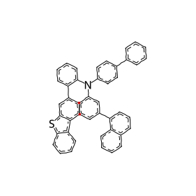 c1ccc(-c2ccc(N(c3cccc(-c4cccc5ccccc45)c3)c3ccccc3-c3ccc4c(c3)sc3ccccc34)cc2)cc1